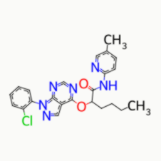 CCCCC(Oc1ncnc2c1cnn2-c1ccccc1Cl)C(=O)Nc1ccc(C)cn1